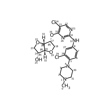 CN1CCN(c2ccc(Nc3ncc(Cl)c(O[C@@H]4CO[C@H]5[C@@H]4OC[C@H]5O)n3)cc2Cl)CC1